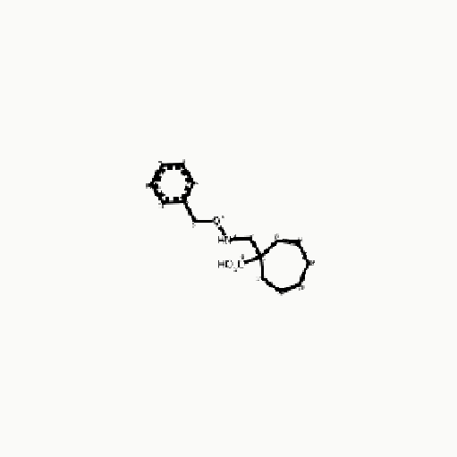 O=C(O)C1(CNOCc2ccccc2)CCCCCC1